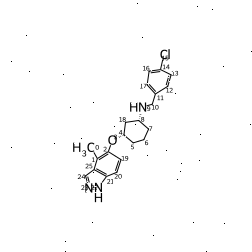 Cc1c(O[C@H]2CCC[C@@H](NCc3ccc(Cl)cc3)C2)ccc2[nH]ncc12